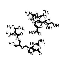 CC(=O)N[C@H]1[C@H]([C@H](O)[C@H](O)CO)OC(C(=O)O)=C[C@@H]1NC(=N)N.CC(C)[C@H](N)C(=O)OCC(CO)OCn1cnc2c(=O)nc(N)[nH]c21